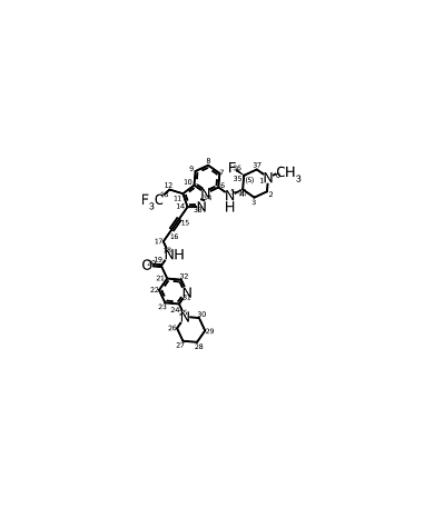 CN1CC[C@@H](Nc2cccc3c(CC(F)(F)F)c(C#CCNC(=O)c4ccc(N5CCCCC5)nc4)nn23)[C@@H](F)C1